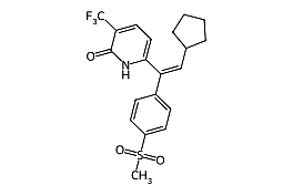 CS(=O)(=O)c1ccc(C(=CC2CCCC2)c2ccc(C(F)(F)F)c(=O)[nH]2)cc1